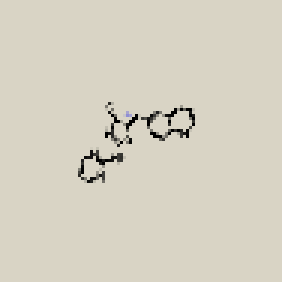 O=C1N=C(Nc2ncccn2)S/C1=C\c1ccc2ncccc2c1